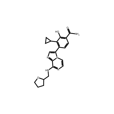 NC(=O)c1ccc(-c2cnc3c(NCC4CCCO4)nccn23)c(C2CC2)c1O